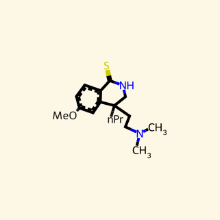 CCCC1(CCN(C)C)CNC(=S)c2ccc(OC)cc21